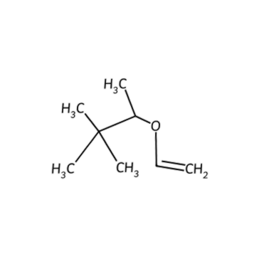 C=COC(C)C(C)(C)C